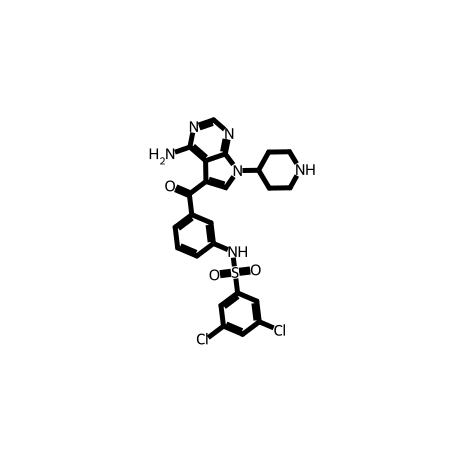 Nc1ncnc2c1c(C(=O)c1cccc(NS(=O)(=O)c3cc(Cl)cc(Cl)c3)c1)cn2C1CCNCC1